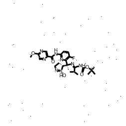 COc1cnc(C(=O)Nc2ccc(F)c([C@@](C)(/N=C(/NC(=O)OC(C)(C)C)C(C)C)[C@H]3CCN=[SH]3=O)n2)cn1